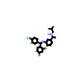 C=C(NCC(C)C)c1ccc2c(c1)N=C(c1ccc(Cl)cc1)c1ccc(F)cc1S2